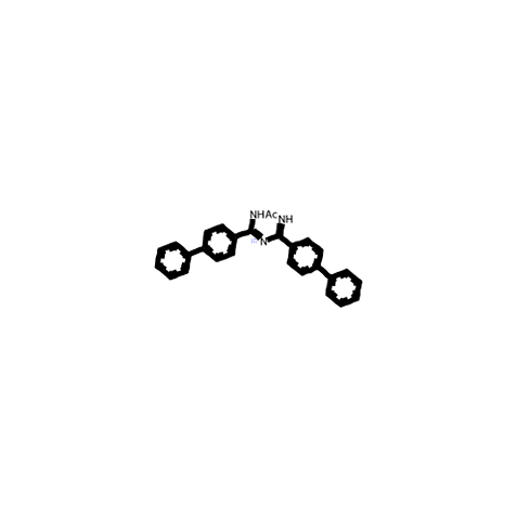 CC(=O)N/C(=N\C(=N)c1ccc(-c2ccccc2)cc1)c1ccc(-c2ccccc2)cc1